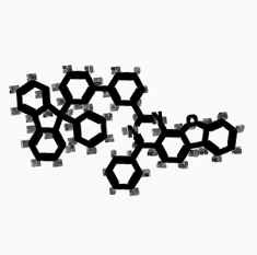 c1ccc(-c2nc(-c3cccc(-c4cccc(C5(c6ccccc6)c6ccccc6-c6ccccc65)c4)c3)nc3c2ccc2c4ccccc4oc23)cc1